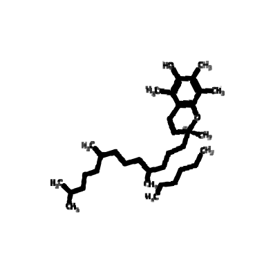 CCCCCC.Cc1c(C)c2c(c(C)c1O)CC[C@@](C)(CCCC(C)CCCC(C)CCCC(C)C)O2